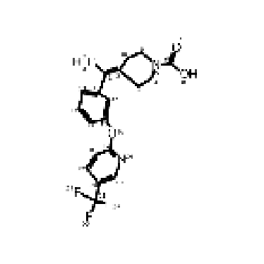 CC(=C1CCN(C(=O)O)CC1)c1cccc(Oc2ccc(C(F)(F)F)cn2)c1